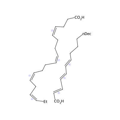 CC/C=C\C/C=C\CC/C=C\CC/C=C\CCC(=O)O.CCCCCCCCCCCCC/C=C/C=C/C=C/C(=O)O